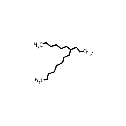 [CH2]CCC(CCCCCC)CCCCCCCC